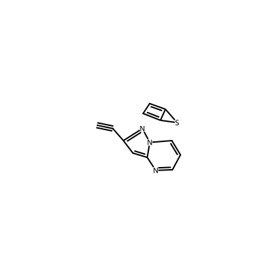 C#Cc1cc2ncccn2n1.c1cc2sc1-2